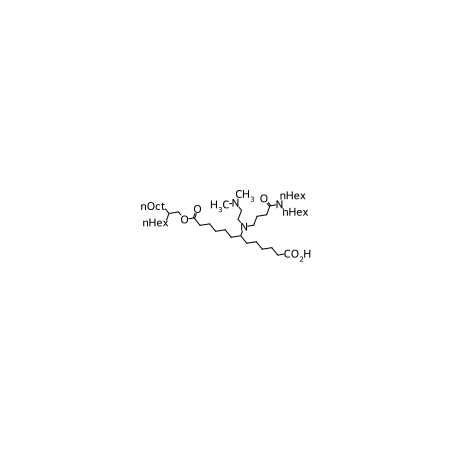 CCCCCCCCC(CCCCCC)COC(=O)CCCCCC(CCCCCC(=O)O)N(CCCC(=O)N(CCCCCC)CCCCCC)CCN(C)C